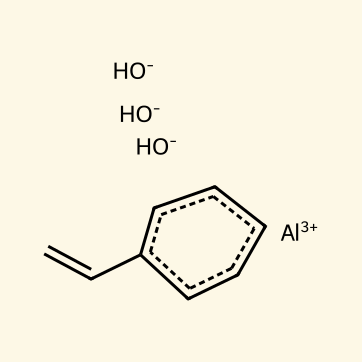 C=Cc1ccccc1.[Al+3].[OH-].[OH-].[OH-]